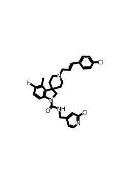 Cc1c(F)ccc2c1C1(CCN(CC=Cc3ccc(Cl)cc3)CC1)CN2C(=O)NCc1ccnc(Cl)c1